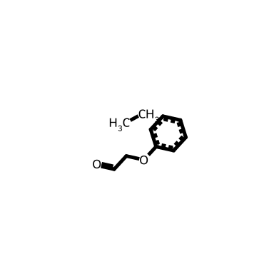 CC.O=CCOc1ccccc1